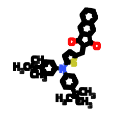 C[Si](C)(C)c1ccc(N(c2ccc([Si](C)(C)C)cc2)c2ccc(C=C3C(=O)c4cc5ccccc5cc4C3=O)s2)cc1